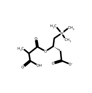 CC(C(=O)O)C(=O)O[C@@H](CC(=O)[O-])C[N+](C)(C)C